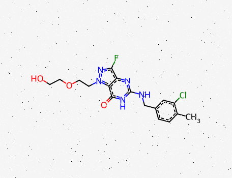 Cc1ccc(CNc2nc3c(F)nn(CCOCCO)c3c(=O)[nH]2)cc1Cl